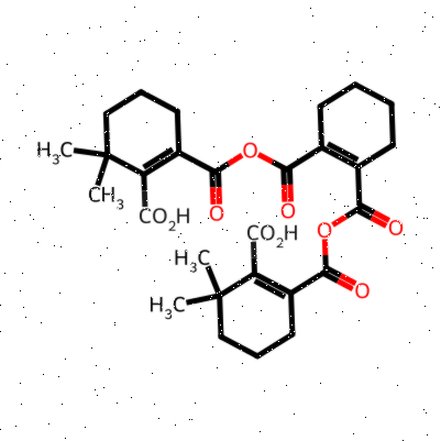 CC1(C)CCCC(C(=O)OC(=O)C2=C(C(=O)OC(=O)C3=C(C(=O)O)C(C)(C)CCC3)CCCC2)=C1C(=O)O